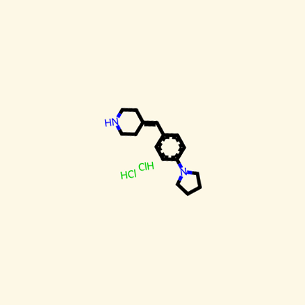 C(=C1CCNCC1)c1ccc(N2CCCC2)cc1.Cl.Cl